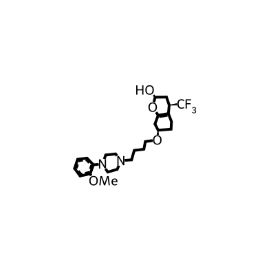 COc1ccccc1N1CCN(CCCCO[C@@H]2CCC3=C(C2)O[C@@H](O)C[C@H]3C(F)(F)F)CC1